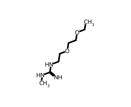 CCOCCOCCNC(=N)NC